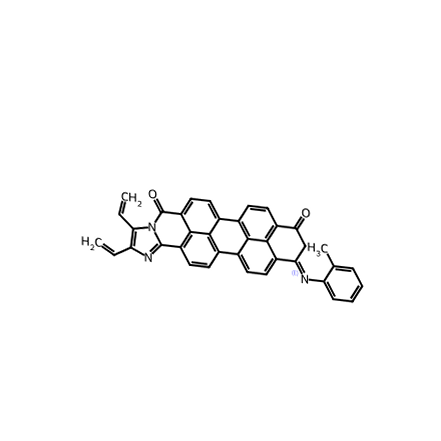 C=Cc1nc2c3ccc4c5ccc6c7c(ccc(c8ccc(c(=O)n2c1C=C)c3c84)c75)C(=O)C/C6=N\c1ccccc1C